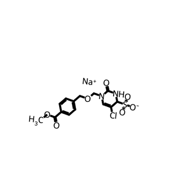 COC(=O)c1ccc(COCN2C=C(Cl)C(S(=O)(=O)[O-])NC2=O)cc1.[Na+]